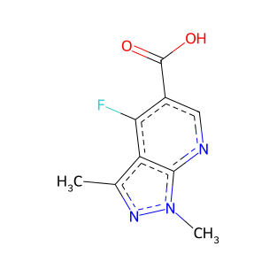 Cc1nn(C)c2ncc(C(=O)O)c(F)c12